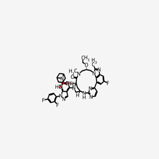 CCO[C@H]1CN(C)C(=O)[C@@H]2C[C@@H](CN2c2nc(N3C4CC3CC(C)(O)C4)nc3c2cnn3-c2ccc(F)cc2F)Nc2nccc(n2)-c2cc(F)cc3nc(C)n(c23)C1